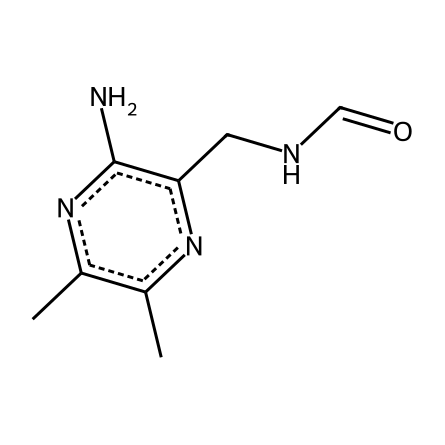 Cc1nc(N)c(CNC=O)nc1C